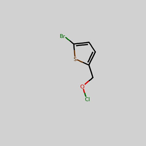 ClOCc1ccc(Br)s1